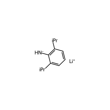 CC(C)c1cccc(C(C)C)c1[NH-].[Li+]